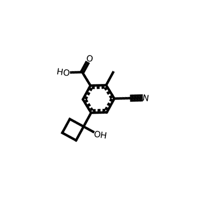 Cc1c(C#N)cc(C2(O)CCC2)cc1C(=O)O